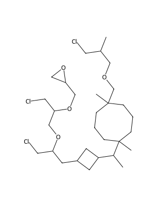 CC(CCl)COCC1(C)CCCC(C)(C(C)C2CC(CC(CCl)OCC(CCl)OCC3CO3)C2)CCC1